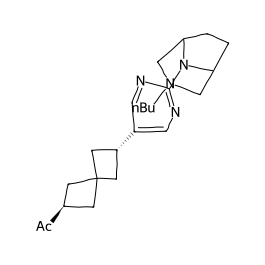 CCCCN1CC2CCC(C1)N2c1ncc([C@H]2CC3(C[C@H](C(C)=O)C3)C2)cn1